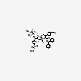 CC(C)(C)OC(=O)Nc1nc(/C(=N/OC(C)(C)C(=O)OC(C)(C)C)C(=O)N[C@@H]2C(=O)N3C(C(=O)OC(c4ccccc4)c4ccccc4)=C(c4ccc(CCl)cn4)CS[C@H]23)cs1